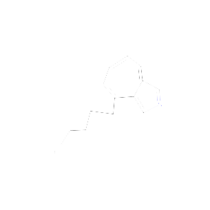 CCCCCc1ccccc2cncc1-2